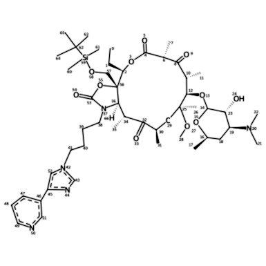 CC[C@H]1OC(=O)[C@H](C)C(=O)[C@H](C)[C@@H](OC2O[C@H](C)C[C@H](N(C)C)[C@H]2O)[C@@](C)(OC)C[C@@H](C)C(=O)[C@H](C)[C@H]2N(CCCCn3cnc(-c4cccnc4)c3)C(=O)O[C@]12CO[Si](C)(C)C(C)(C)C